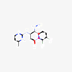 Cc1ccnc(NC(/C=C\c2cccc(Cl)c2Cl)=C(\N=N)C(C)NC=O)n1